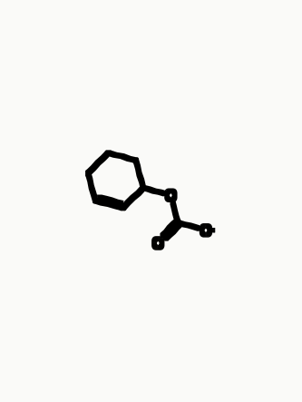 [O]C(=O)OC1C=CCCC1